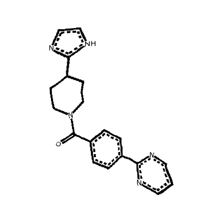 O=C(c1ccc(-c2ncccn2)cc1)N1CCC(c2ncc[nH]2)CC1